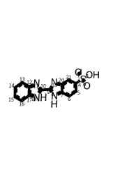 O=S(=O)(O)c1ccc2[nH]c(-c3nc4ccccc4[nH]3)nc2c1